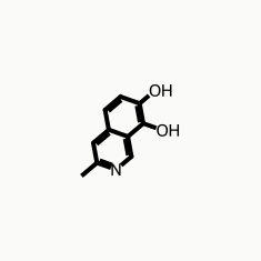 Cc1cc2ccc(O)c(O)c2cn1